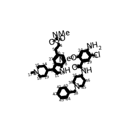 CNS(=O)(=O)CCc1ccc2[nH]cc(C3CCN(C)CC3)c2c1.COc1cc(N)c(Cl)cc1C(=O)NC1CCN(Cc2ccccc2)CC1